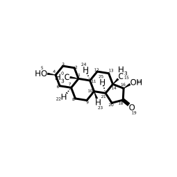 C[C@]12CC[C@H](O)C[C@@H]1CC[C@@H]1[C@@H]2CC[C@]2(C)[C@@H](O)C(=O)C[C@@H]12